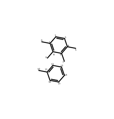 Cc1ccc(C)c(C)c1C.Cc1ccccc1